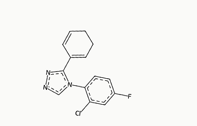 Fc1ccc(-n2cnnc2C2=CCCC=C2)c(Cl)c1